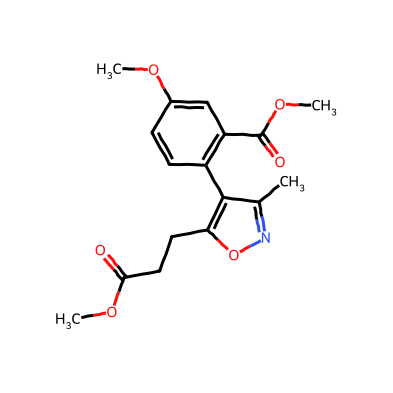 COC(=O)CCc1onc(C)c1-c1ccc(OC)cc1C(=O)OC